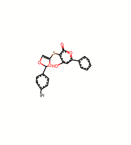 CC(C)c1ccc(C2OC=C(Sc3c(O)cc(-c4ccccc4)oc3=O)O2)cc1